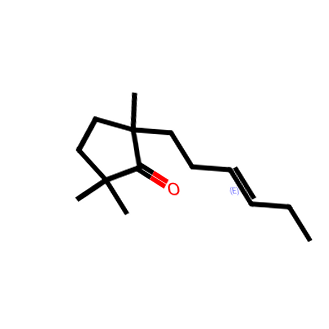 CC/C=C/CCC1(C)CCC(C)(C)C1=O